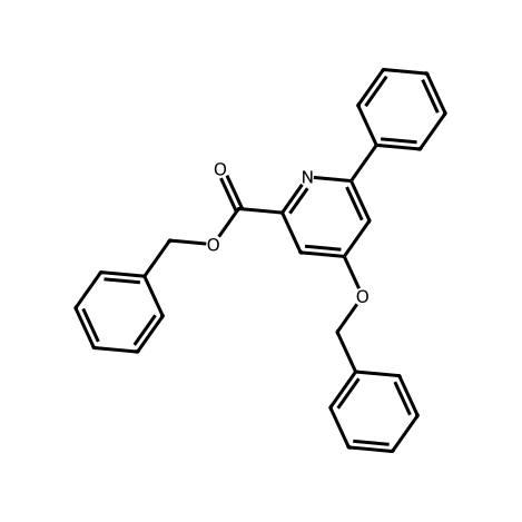 O=C(OCc1ccccc1)c1cc(OCc2ccccc2)cc(-c2ccccc2)n1